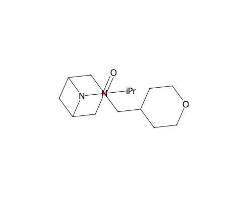 CC(C)N1CC2CC(C1)N2C(=O)CC1CCOCC1